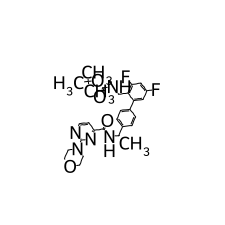 C[C@@H](NC(=O)c1ccnc(N2CCOCC2)n1)c1ccc(-c2cc(F)cc(F)c2CNC(=O)OC(C)(C)C)cc1